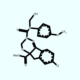 COC(=O)C12Cc3cc(Cl)ccc3C1=NN(C(=O)N(CO)c1ccc(OC(F)(F)F)cc1)CO2